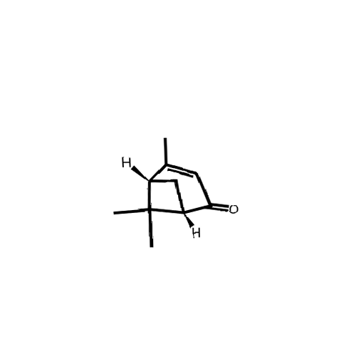 CC1=CC(=O)[C@H]2C[C@@H]1C2(C)C